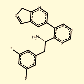 N[C@@H](Cc1cc(F)cc(F)c1)c1ncncc1-c1cnc2c(c1)C=NC2